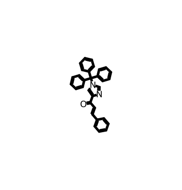 O=C(C=Cc1ccccc1)c1cn(C(c2ccccc2)(c2ccccc2)c2ccccc2)cn1